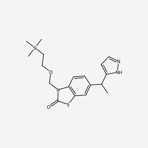 CC(c1ccc2c(c1)sc(=O)n2COCC[Si](C)(C)C)c1ccn[nH]1